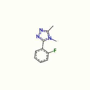 Cc1nnc(-c2ccccc2F)n1C